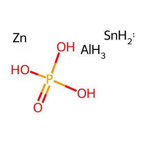 O=P(O)(O)O.[AlH3].[SnH2].[Zn]